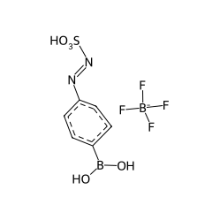 F[B-](F)(F)F.O=S(=O)(O)N=Nc1ccc(B(O)O)cc1